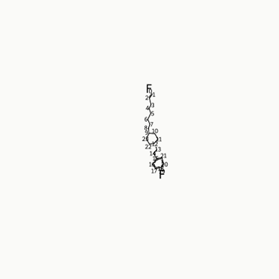 F/C=C/CCCCCC[C@H]1CC[C@H](CCc2ccc(F)cc2)CC1